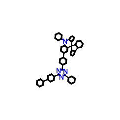 c1ccc(-c2ccc(-c3nc(-c4ccccc4)nc(-c4ccc(-c5ccc6c(c5)C5(c7ccccc7-c7ccccc75)c5ccccc5N6c5ccccc5)cc4)n3)cc2)cc1